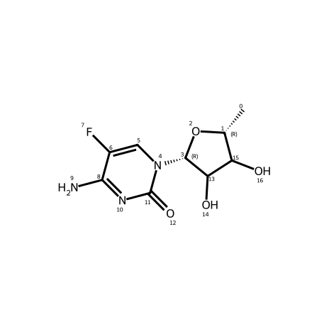 C[C@H]1O[C@@H](n2cc(F)c(N)nc2=O)C(O)C1O